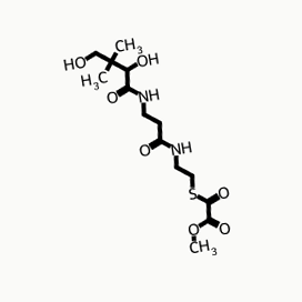 COC(=O)C(=O)SCCNC(=O)CCNC(=O)C(O)C(C)(C)CO